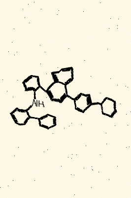 c1ccc(-c2ccccc2Nc2ccccc2-c2ccc(-c3ccc(C4CCCCC4)cc3)c3ccccc23)cc1